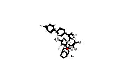 CC(=O)c1c([C@H]2C[C@H]3CC[C@@H](C2)N3C(=O)c2cc(N)n[nH]2)nc2c(-c3ccc(-c4ccc(F)cc4)nc3)cnn2c1N